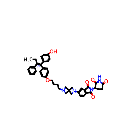 CC/C(=C(\c1ccc(O)cc1)c1ccc(OCCCCN2CC3(C2)CN(c2ccc4c(c2)C(=O)N(C2CCC(=O)NC2=O)C4=O)C3)cc1)c1ccccc1